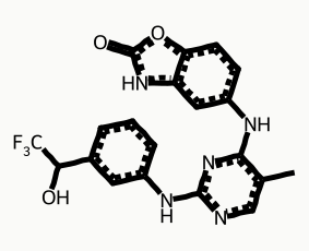 Cc1cnc(Nc2cccc(C(O)C(F)(F)F)c2)nc1Nc1ccc2oc(=O)[nH]c2c1